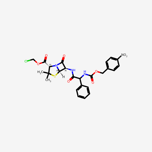 CC1(C)S[C@@H]2[C@H](NC(=O)C(NC(=O)OCc3ccc([N+](=O)[O-])cc3)c3ccccc3)C(=O)N2[C@H]1C(=O)OCCl